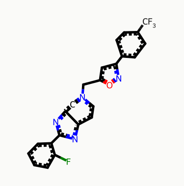 Fc1ccccc1-c1nc2ccn(Cc3cc(-c4ccc(C(F)(F)F)cc4)no3)cc-2n1